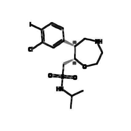 CC(C)NS(=O)(=O)C[C@H]1OCCNC[C@H]1c1ccc(I)c(Cl)c1